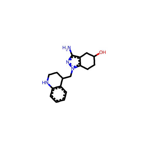 Nc1nn(CC2CCNc3ccccc32)c2c1CC(O)CC2